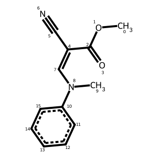 COC(=O)C(C#N)=CN(C)c1ccccc1